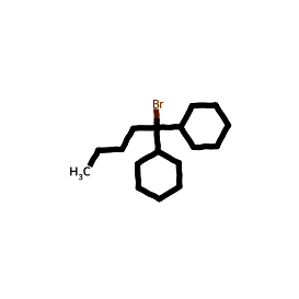 CCCCC(Br)(C1CCCCC1)C1CCCCC1